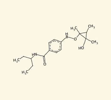 CCC(CC)NC(=O)c1ccc(BOC2(C)C(C)C2(C)O)cc1